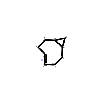 C1=C/CCC2CC2CC/1